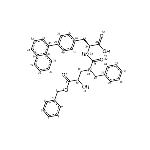 O=C(OCc1ccccc1)C(O)CN(Cc1ccccc1)C(=O)N[C@@H](Cc1ccc(-c2cccc3ccccc23)cc1)C(=O)O